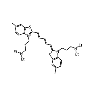 CCN(CC)CCCN1/C(=C/C=C/C=C/c2sc3cc(C)ccc3[n+]2CCCN(CC)CC)Sc2cc(C)ccc21